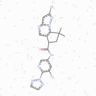 CC1(C)CC(C(=O)Nc2cnc(-n3nccn3)c(Cl)c2)c2cnc3cc(C(F)(F)F)nn3c21